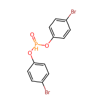 O=[PH](Oc1ccc(Br)cc1)Oc1ccc(Br)cc1